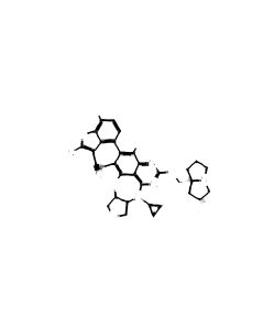 N#Cc1c(N)sc2c(F)ccc(-c3c(Cl)c4c5c(nc(OC[C@@]67CCCN6C[C@H](F)C7)nc5c3F)N(C3CC3)C3COCC3O4)c12